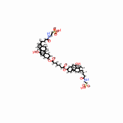 C[C@H](CCC(=O)NCCS(=O)(=O)O)[C@H]1CC[C@H]2[C@@H]3[C@@H](O)CC4C[C@H](OC(=O)CCCCCC(=O)O[C@H]5CC[C@]6(C)C(C5)C[C@@H](O)[C@@H]5[C@H]7CC[C@@H]([C@@H](C)CCC(=O)NCCS(=O)(=O)O)[C@]7(C)CC[C@H]56)CC[C@]4(C)[C@H]3CC[C@]12C